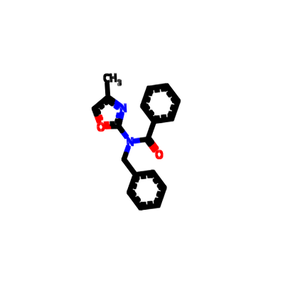 Cc1coc(N(Cc2ccccc2)C(=O)c2ccccc2)n1